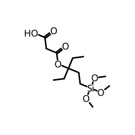 CCC(CC)(CC[Si](OC)(OC)OC)OC(=O)CC(=O)O